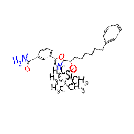 CC(C)(C)[Si](C)(C)OC(CCCCCCc1ccccc1)c1ncc(-c2cccc(C(N)=O)c2)o1